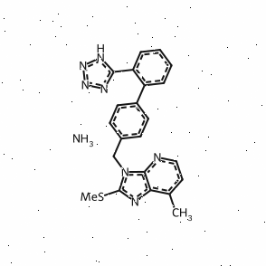 CSc1nc2c(C)ccnc2n1Cc1ccc(-c2ccccc2-c2nnn[nH]2)cc1.N